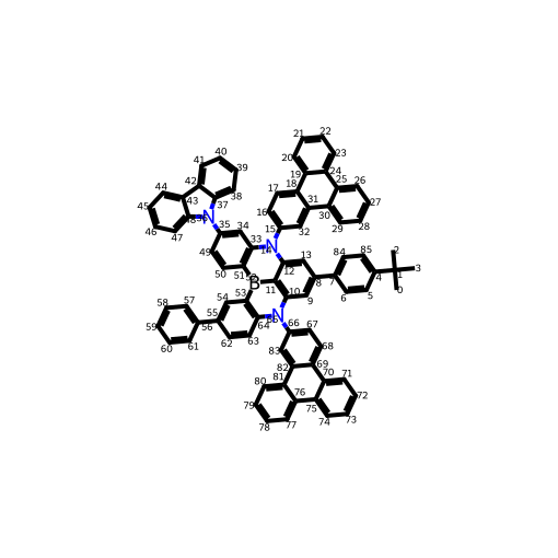 CC(C)(C)c1ccc(-c2cc3c4c(c2)N(c2ccc5c6ccccc6c6ccccc6c5c2)c2cc(-n5c6ccccc6c6ccccc65)ccc2B4c2cc(-c4ccccc4)ccc2N3c2ccc3c4ccccc4c4ccccc4c3c2)cc1